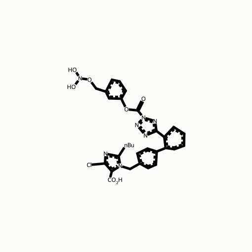 CCCCc1nc(Cl)c(C(=O)O)n1Cc1ccc(-c2ccccc2-c2nnn(C(=O)Oc3cccc(CON(O)O)c3)n2)cc1